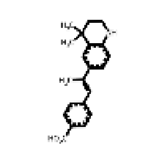 CC(=Cc1ccc(C(=O)O)cc1)c1ccc2c(c1)C(C)(C)CCN2